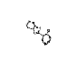 Clc1ccccc1-c1nc2cnccc2o1